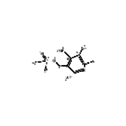 Cc1ncc(COP(=O)([O-])[O-])c(C=O)c1O.[Cu+2]